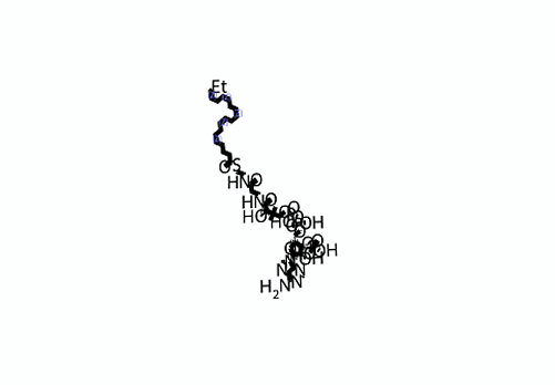 CC/C=C\C/C=C\C/C=C\C/C=C\C/C=C\CCCC(=O)SCCNC(=O)CCNC(=O)[C@H](O)C(C)(C)COP(=O)(O)OP(=O)(O)OC[C@H]1O[C@@H](n2cnc3c(N)ncnc32)[C@H](O)[C@@H]1OP(=O)(O)O